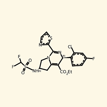 CCOC(=O)C1=C2C[C@H](NS(=O)(=O)C(F)F)CN2C(c2nccs2)=N[C@H]1c1ccc(F)cc1Cl